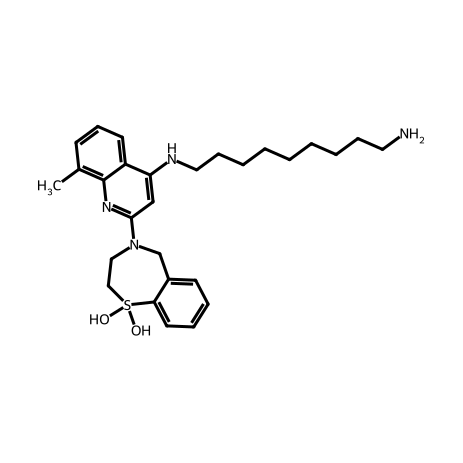 Cc1cccc2c(NCCCCCCCCCN)cc(N3CCS(O)(O)c4ccccc4C3)nc12